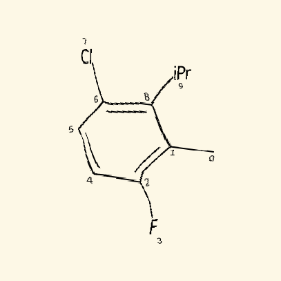 Cc1c(F)ccc(Cl)c1C(C)C